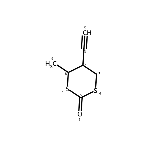 C#CC1CSC(=O)SC1C